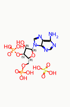 Nc1ncnc2c1ncn2[C@@H]1O[C@H](COP(=O)(O)O)[C@@H](OP(=O)(O)O)[C@H]1O.O=S(=O)(O)O